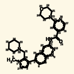 Cn1ncc(-c2ccc3nnc(NC(=O)c4ccnc(N5CCOCC5)c4)cc3c2)c1CN1CCCCC1